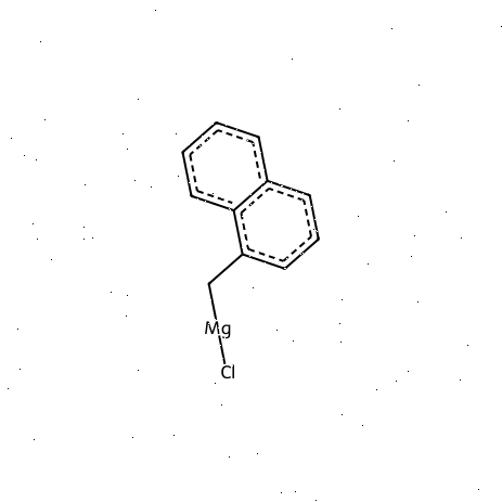 [Cl][Mg][CH2]c1cccc2ccccc12